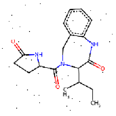 CCC(C)C1C(=O)Nc2ccccc2CN1C(=O)C1CCC(=O)N1